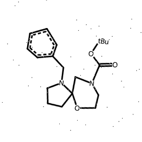 CC(C)(C)OC(=O)N1CCOC2(CCCN2Cc2ccccc2)C1